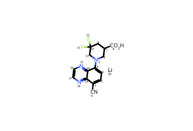 N#Cc1ccc(N2CC(C(=O)O)CC(F)(F)C2)c2nccnc12.[Li]